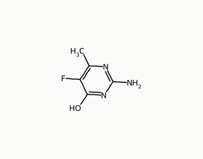 Cc1nc(N)nc(O)c1F